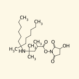 CCCCCCC(C)(CCCCCC)NC(C)(C)CC(C)C(=O)ON1C(=O)CC(O)C1=O